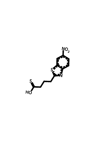 O=[N+]([O-])c1ccc2nc(CCCC(O)=S)sc2c1